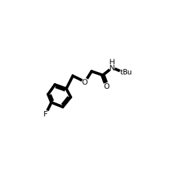 CC(C)(C)NC(=O)COCc1ccc(F)cc1